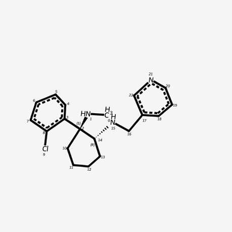 CN[C@]1(c2ccccc2Cl)CCCC[C@H]1NCc1cccnc1